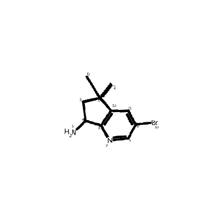 CC1(C)CC(N)c2ncc(Br)cc21